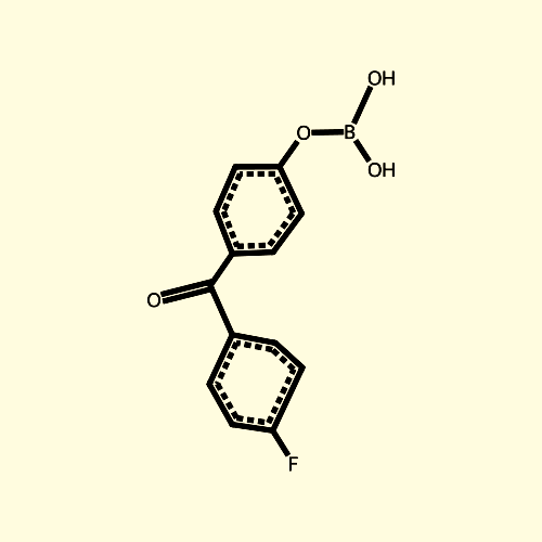 O=C(c1ccc(F)cc1)c1ccc(OB(O)O)cc1